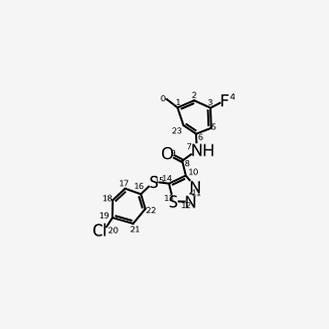 Cc1cc(F)cc(NC(=O)c2nnsc2Sc2ccc(Cl)cc2)c1